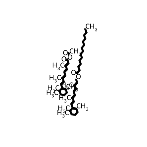 CC(=O)OC(=O)/C=C(C)/C=C/C=C(C)/C=C/C1=C(C)CCCC1(C)C.CCCCCCCCCCCCCCCC(=O)OC/C=C(C)/C=C/C=C(C)/C=C/C1=C(C)CCCC1(C)C